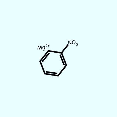 O=[N+]([O-])c1ccccc1.[Mg+2]